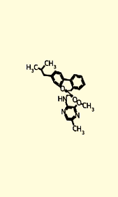 COc1nc(C)cnc1NS(=O)(=O)c1ccccc1-c1ccc(CC(C)C)cc1